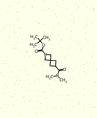 CN(C)C(=O)C1CC2(C1)CN(C(=O)OC(C)(C)C)C2